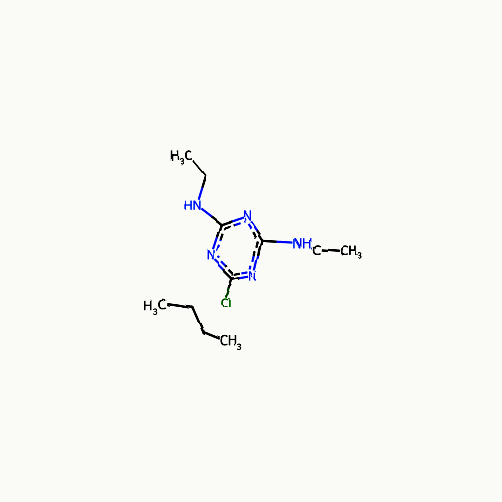 CCCC.CCNc1nc(Cl)nc(NCC)n1